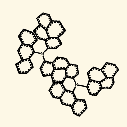 c1ccc2c(N(c3ccc4ccc5cccc6ccc3c4c56)c3ccc4ccc5c(N(c6c7ccccc7cc7ccccc67)c6ccc7ccc8cccc9ccc6c7c89)ccc6ccc3c4c65)c3ccccc3cc2c1